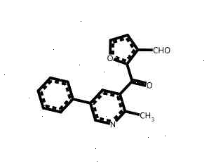 Cc1ncc(-c2ccccc2)cc1C(=O)c1occc1C=O